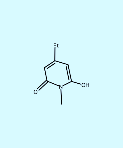 CCc1cc(O)n(C)c(=O)c1